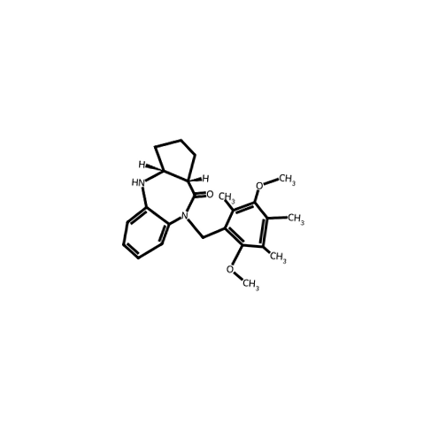 COc1c(C)c(C)c(OC)c(CN2C(=O)[C@H]3CCC[C@H]3Nc3ccccc32)c1C